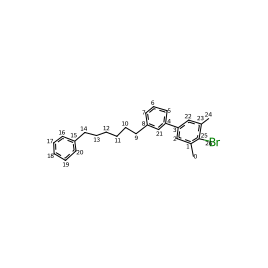 Cc1cc(-c2cccc(CCCCCCc3ccccc3)c2)cc(C)c1Br